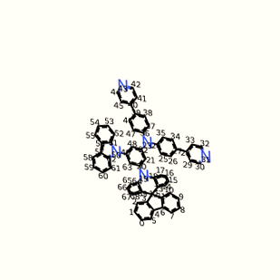 c1ccc2c(c1)-c1ccccc1C21c2ccccc2N(c2cc(N(c3ccc(-c4ccncc4)cc3)c3ccc(-c4ccncc4)cc3)cc(-n3c4ccccc4c4ccccc43)c2)c2ccccc21